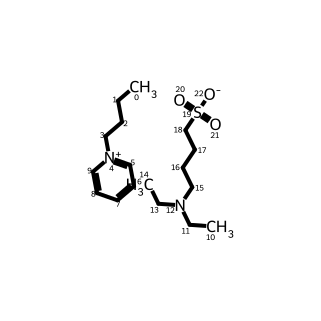 CCCC[n+]1ccccc1.CCN(CC)CCCCS(=O)(=O)[O-]